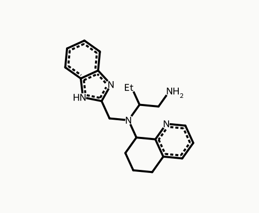 CCC(CN)N(Cc1nc2ccccc2[nH]1)C1CCCc2cccnc21